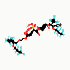 CC(COCCOC(=O)C(CC(=O)OCCOCC(F)(OC(F)(F)C(F)(F)C(F)(F)F)C(F)(F)F)S(=O)(=O)O)(OC(F)(F)C(F)(F)C(F)(F)F)C(F)(F)F